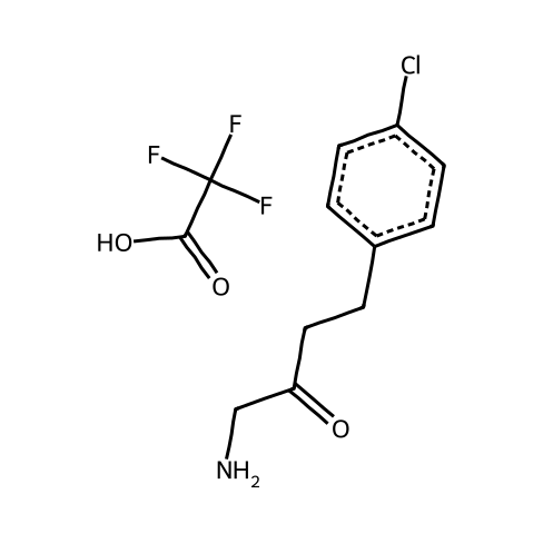 NCC(=O)CCc1ccc(Cl)cc1.O=C(O)C(F)(F)F